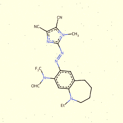 CCN1CCCCc2cc(N=Nc3nc(C#N)c(C#N)n3C)c(N(C=O)C(F)(F)F)cc21